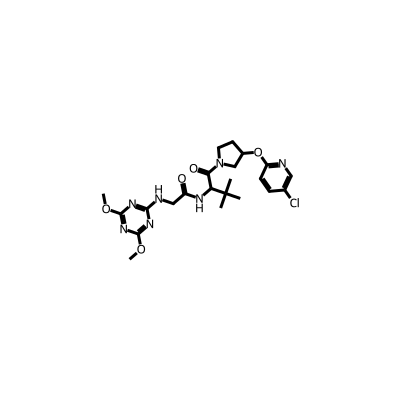 COc1nc(NCC(=O)NC(C(=O)N2CCC(Oc3ccc(Cl)cn3)C2)C(C)(C)C)nc(OC)n1